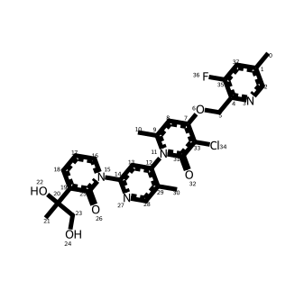 Cc1cnc(COc2cc(C)n(-c3cc(-n4cccc(C(C)(O)CO)c4=O)ncc3C)c(=O)c2Cl)c(F)c1